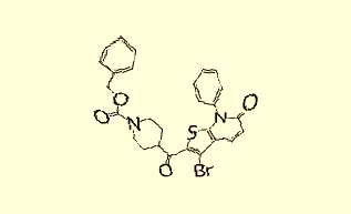 O=C(c1sc2c(ccc(=O)n2-c2ccccc2)c1Br)C1CCN(C(=O)OCc2ccccc2)CC1